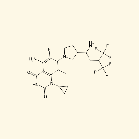 CC1c2c(c(=O)[nH]c(=O)n2C2CC2)C(N)=C(F)C1N1CCC(C(N)C=C(C(F)(F)F)C(F)(F)F)C1